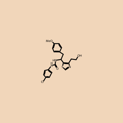 COc1ccc(CC(NC(=O)Nc2ccc(Cl)cc2)c2scnc2CCO)cc1